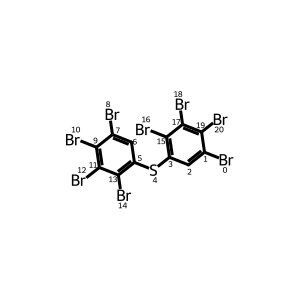 Brc1cc(Sc2cc(Br)c(Br)c(Br)c2Br)c(Br)c(Br)c1Br